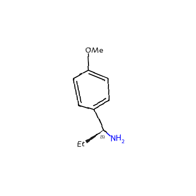 CC[C@H](N)c1ccc(OC)cc1